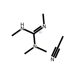 C/N=C(\NC)N(C)C.CC#N